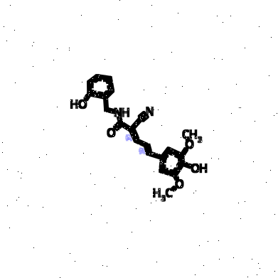 COc1cc(/C=C/C=C(\C#N)C(=O)NCc2ccccc2O)cc(OC)c1O